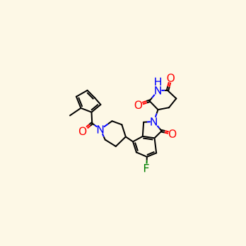 Cc1ccccc1C(=O)N1CCC(c2cc(F)cc3c2CN(C2CCC(=O)NC2=O)C3=O)CC1